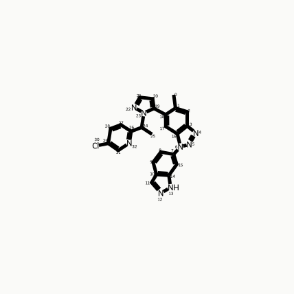 Cc1cc2nnn(-c3ccc4cn[nH]c4c3)c2cc1-c1ccnn1C(C)c1ccc(Cl)cn1